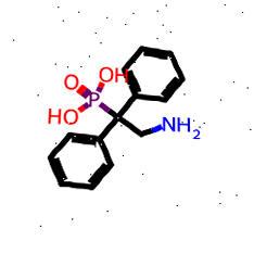 NCC(c1ccccc1)(c1ccccc1)P(=O)(O)O